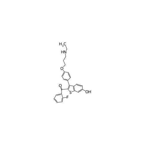 CCNCCCOc1ccc(-c2c(C(=O)c3ccccc3F)sc3cc(O)ccc23)cc1